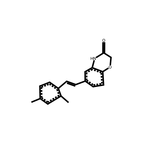 Cc1ccc(C=Cc2ccc3c(c2)NC(=O)CO3)c(C)c1